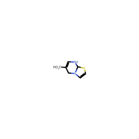 O=C(O)C1=CNC2SC=CN2C1